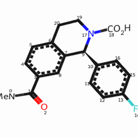 CNC(=O)c1ccc2c(c1)[C@H](c1ccc(F)cc1)N(C(=O)O)CC2